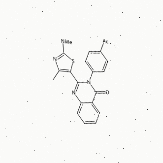 CNc1nc(C)c(-c2nc3ccccc3c(=O)n2-c2ccc(C(C)=O)cc2)s1